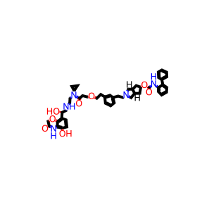 O=C1COc2c([C@@H](O)CNCCN(C(=O)CCOCCc3cccc(CCN4C[C@H]5CC(OC(=O)Nc6ccccc6-c6ccccc6)C[C@H]5C4)c3)C3CC3)ccc(O)c2N1